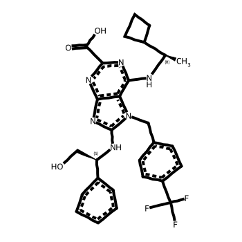 C[C@@H](Nc1nc(C(=O)O)nc2nc(N[C@H](CO)c3ccccc3)n(Cc3ccc(C(F)(F)F)cc3)c12)C1CCC1